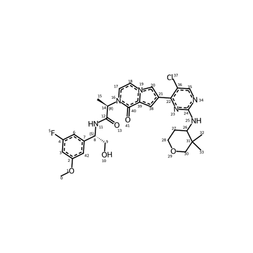 COc1cc(F)cc([C@@H](CO)NC(=O)[C@@H](C)n2ccn3cc(-c4nc(NC5CCOCC5(C)C)ncc4Cl)cc3c2=O)c1